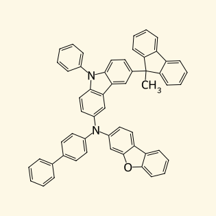 CC1(c2ccc3c(c2)c2cc(N(c4ccc(-c5ccccc5)cc4)c4ccc5c(c4)oc4ccccc45)ccc2n3-c2ccccc2)c2ccccc2-c2ccccc21